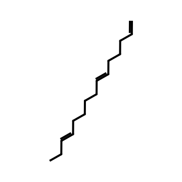 C=CCCCC=CCCCCC=CCC